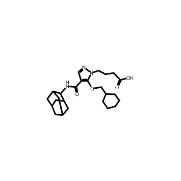 O=C(O)CCCn1ncc(C(=O)NC2C3CC4CC(C3)CC2C4)c1OCC1CCCCC1